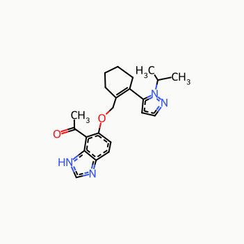 CC(=O)c1c(OCC2=C(c3ccnn3C(C)C)CCCC2)ccc2nc[nH]c12